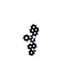 C\C=C(/C=C(\C=C\c1ccc2ccc3cccc4ccc1c2c34)C1=CCC=CC=C1)c1ccc2c3c(cccc13)-c1ccccc1S2